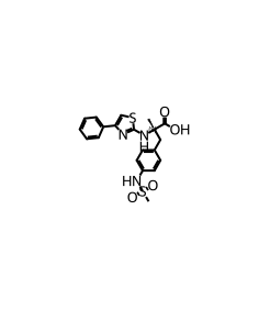 C[C@@](Cc1ccc(NS(C)(=O)=O)cc1)(Nc1nc(-c2ccccc2)cs1)C(=O)O